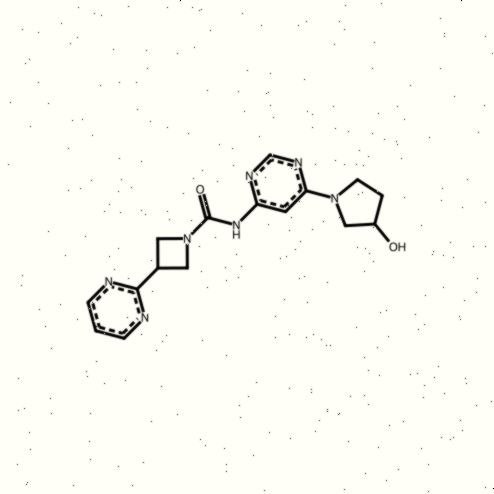 O=C(Nc1cc(N2CCC(O)C2)ncn1)N1CC(c2ncccn2)C1